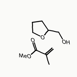 C=C(C)C(=O)OC.OCC1CCCO1